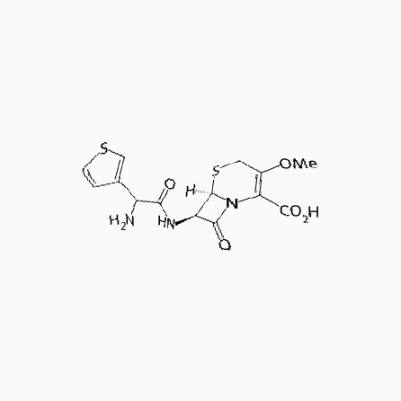 COC1=C(C(=O)O)N2C(=O)[C@@H](NC(=O)C(N)c3ccsc3)[C@H]2SC1